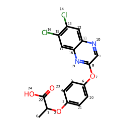 CC(Oc1ccc(Oc2cnc3cc(Cl)c(Cl)cc3n2)cc1)C(=O)O